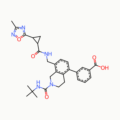 Cc1noc(C2CC2C(=O)NCc2ccc(-c3cccc(C(=O)O)c3)c3c2CN(C(=O)NC(C)(C)C)CC3)n1